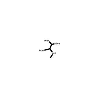 CNC(NC)C(NC)NI